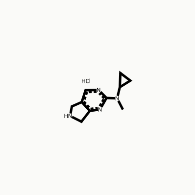 CN(c1ncc2c(n1)CNC2)C1CC1.Cl